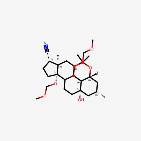 COCO[C@@H]1C[C@]2(C)[C@@H](C#N)CC[C@]2(OCOC)C2CC[C@]3(O)C[C@@H](C)C[C@H]4OC(C)(C)OC[C@]43C21